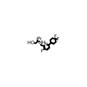 CC(C)C(CO)NCc1nc(C2=CCC(F)(F)CC2)ccc1F